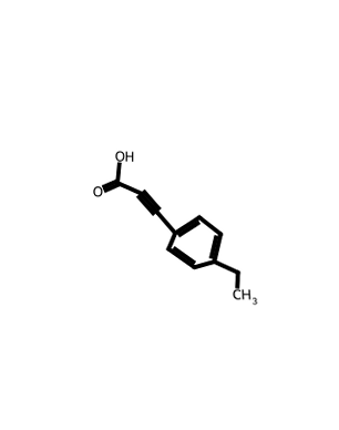 CCc1ccc(C#CC(=O)O)cc1